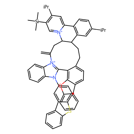 C=C1CC2C(CCc3ccc4c(oc5ccccc54)c3-c3n(-c4ccc5sc6ccccc6c5c4)c4ccccc4[n+]31)c1cc(C(C)C)ccc1-c1cc(C(C)C)c([Si](C)(C)C)c[n+]12